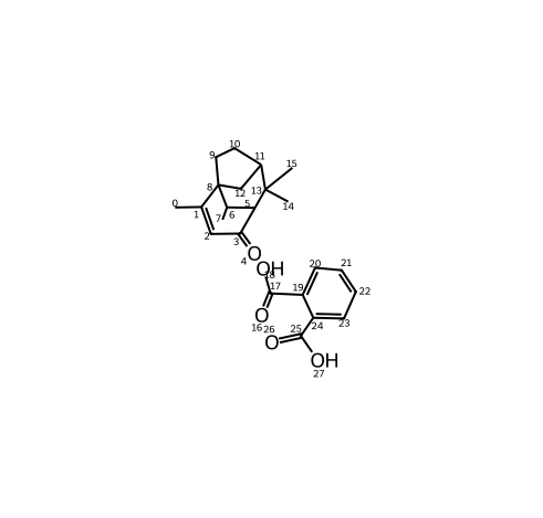 CC1=CC(=O)C2C(C)C13CCC(C3)C2(C)C.O=C(O)c1ccccc1C(=O)O